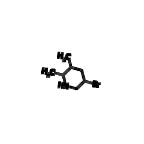 CC1CC(Br)CNC1C